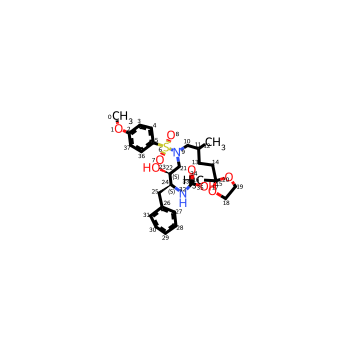 COc1ccc(S(=O)(=O)N(CC(C)CCC2(C)OCCO2)C[C@H](O)[C@H](Cc2ccccc2)NC(=O)O)cc1